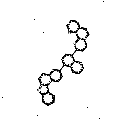 c1cnc2c(c1)ccc1ccc(-c3ccc(-c4ccc5c(ccc6sc7ccccc7c65)c4)c4ccccc34)nc12